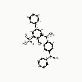 CC(c1ccccc1)c1ccc(C(C)c2cc(-c3ccccc3)cc(S(=O)(=O)O)c2O)cc1